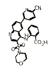 N#Cc1ccc(-c2ccc3ncc(S(=O)(=O)N4CCOCC4)c(Nc4ccccc4C(=O)O)c3c2)cn1